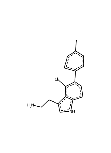 Cc1ccc(-c2ccc3[nH]cc(CCN)c3c2Cl)cc1